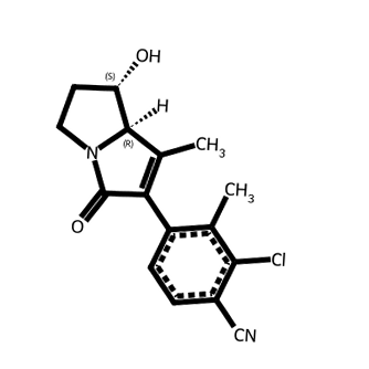 CC1=C(c2ccc(C#N)c(Cl)c2C)C(=O)N2CC[C@H](O)[C@@H]12